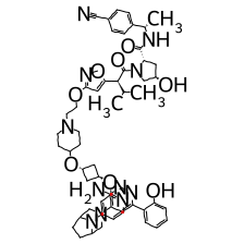 CC(C)[C@H](C(=O)N1C[C@H](O)C[C@H]1C(=O)N[C@@H](C)c1ccc(C#N)cc1)c1cc(OCCN2CCC(O[C@H]3C[C@H](Oc4cc(N5C6CCC5CN(c5cc(-c7ccccc7O)nnc5N)C6)ccn4)C3)CC2)no1